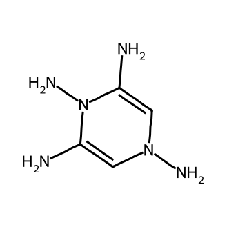 NC1=CN(N)C=C(N)N1N